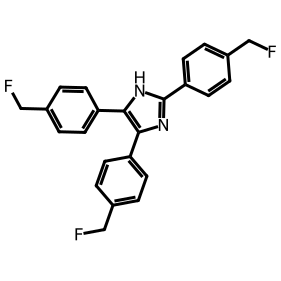 FCc1ccc(-c2nc(-c3ccc(CF)cc3)c(-c3ccc(CF)cc3)[nH]2)cc1